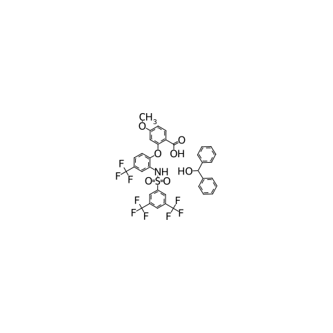 COc1ccc(C(=O)O)c(Oc2ccc(C(F)(F)F)cc2NS(=O)(=O)c2cc(C(F)(F)F)cc(C(F)(F)F)c2)c1.OC(c1ccccc1)c1ccccc1